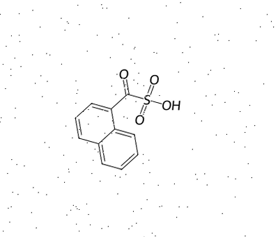 O=C(c1cccc2ccccc12)S(=O)(=O)O